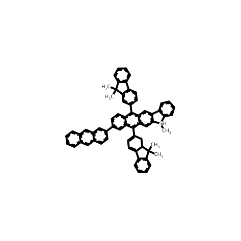 C[SiH]1c2ccccc2-c2cc3c(-c4ccc5c(c4)C(C)(C)c4ccccc4-5)c4ccc(-c5ccc6cc7ccccc7cc6c5)cc4c(C4=CC=C5c6ccccc6C(C)(C)C5C4)c3cc21